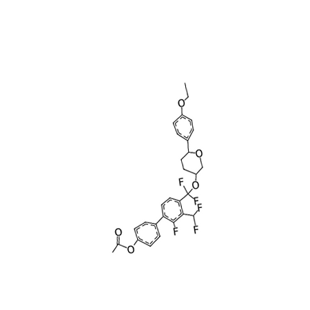 CCOc1ccc(C2CCC(OC(F)(F)c3ccc(-c4ccc(OC(C)=O)cc4)c(F)c3C(F)F)CO2)cc1